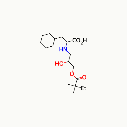 CCC(C)(C)C(=O)OCC(O)CNC(CC1CCCCC1)C(=O)O